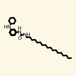 CCCCCCCCCCCCCCCCCCNC(=O)Nc1cccc(NC2CCCCC2)c1